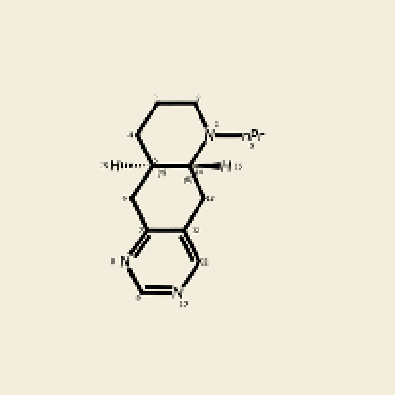 CCCN1CCC[C@@H]2Cc3ncncc3C[C@H]21